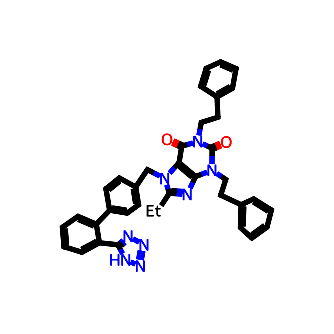 CCc1nc2c(c(=O)n(CCc3ccccc3)c(=O)n2CCc2ccccc2)n1Cc1ccc(-c2ccccc2-c2nnn[nH]2)cc1